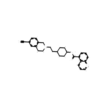 N#Cc1ccc2c(c1)CCN(CCC1CCC(NC(=O)c3cccc4ncccc34)CC1)C2